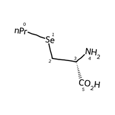 CCC[Se]C[C@H](N)C(=O)O